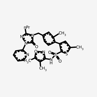 CCCc1nn(-c2ccccn2)c(=O)n1Cc1ccc(-c2cc(C)sc2S(=O)(=O)Nc2noc(C)c2C)c(C)c1